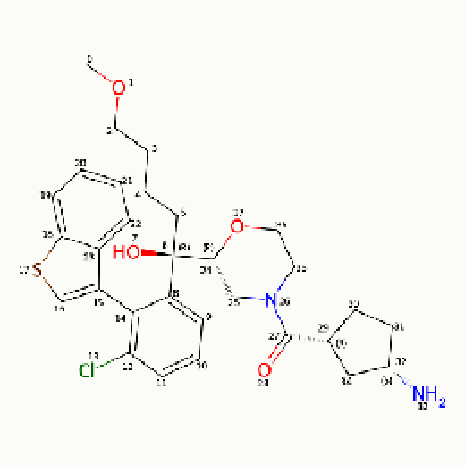 COCCCC[C@@](O)(c1cccc(Cl)c1-c1csc2ccccc12)[C@H]1CN(C(=O)[C@@H]2CC[C@H](N)C2)CCO1